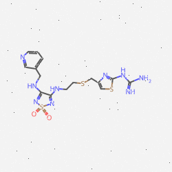 N=C(N)Nc1nc(CSCCNC2=NS(=O)(=O)N=C2NCc2cccnc2)cs1